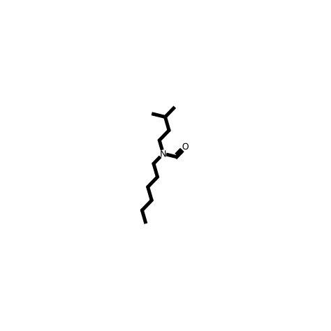 CCCCCCN([C]=O)CCC(C)C